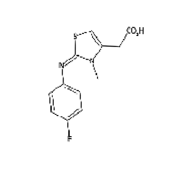 Cn1c(CC(=O)O)cs/c1=N/c1ccc(F)cc1